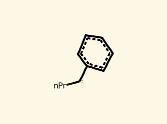 CCC[C]c1ccccc1